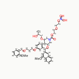 CCC(O)COC1CN(C(=O)OCCOCCON(O)O)CC(OCc2cc(OC)c3ccccc3c2)C1c1ccc(OCCCOCc2ccccc2OC)cc1